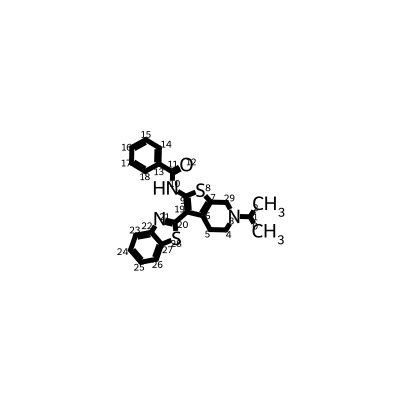 CC(C)N1CCc2c(sc(NC(=O)c3ccccc3)c2-c2nc3ccccc3s2)C1